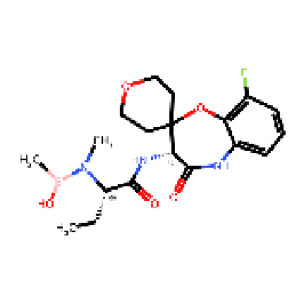 CC[C@@H](C(=O)N[C@H]1C(=O)Nc2cccc(F)c2OC12CCOCC2)N(C)B(C)O